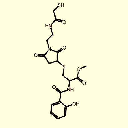 COC(=O)C(CSC1CC(=O)N(CCNC(=O)CS)C1=O)NC(=O)c1ccccc1O